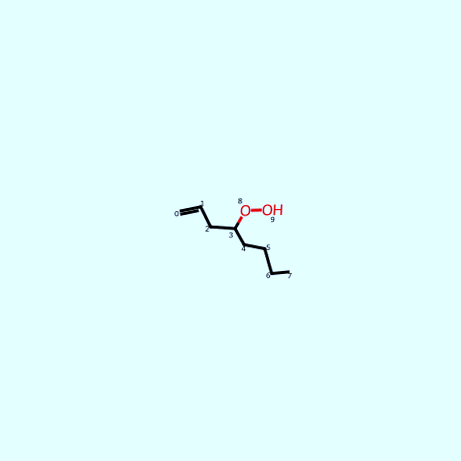 C=CCC(CCCC)OO